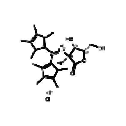 CC1=C(C)C(C)[C]([Zr+2]([GeH2][C@]2(O)C(=O)O[C@@H](CO)[C@H]2O)[C]2=C(C)C(C)=C(C)C2C)=C1C.[Cl-].[Cl-]